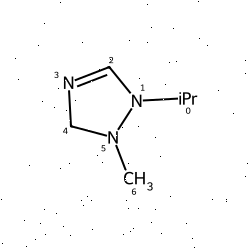 CC(C)N1C=NCN1C